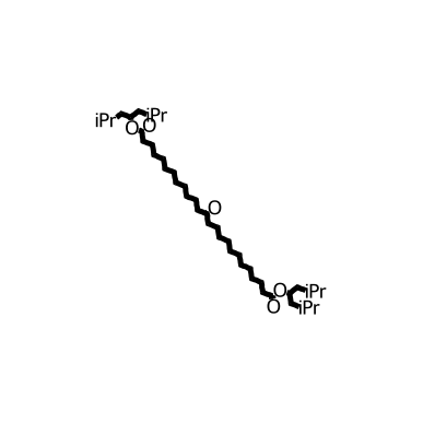 CC(C)CC(CC(C)C)OC(=O)CCCCCCCCCCCC(=O)CCCCCCCCCCCC(=O)OC(CC(C)C)CC(C)C